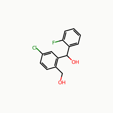 OCc1ccc(Cl)cc1C(O)c1ccccc1F